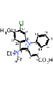 CCN(CC)c1c(/C=C/C(=O)O)n(-c2ccccc2)c2cc(Cl)c(C)cc12